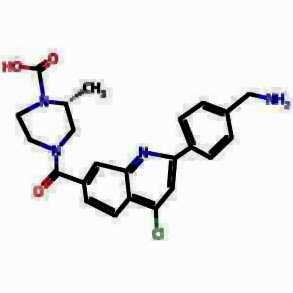 C[C@@H]1CN(C(=O)c2ccc3c(Cl)cc(-c4ccc(CN)cc4)nc3c2)CCN1C(=O)O